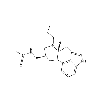 CCCN1C[C@H](CNC(C)=O)CC2c3cccc4[nH]cc(c34)C[C@H]21